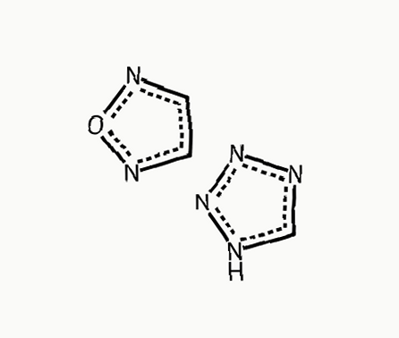 c1cnon1.c1nnn[nH]1